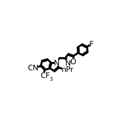 [C-]#[N+]c1ccc2c(cc(CCC)n2Cc2cc(-c3ccc(F)cc3)on2)c1C(F)(F)F